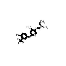 CCN(C)C=Nc1cnc(Oc2ccc(Cl)c(C(F)(F)F)c2)cc1C